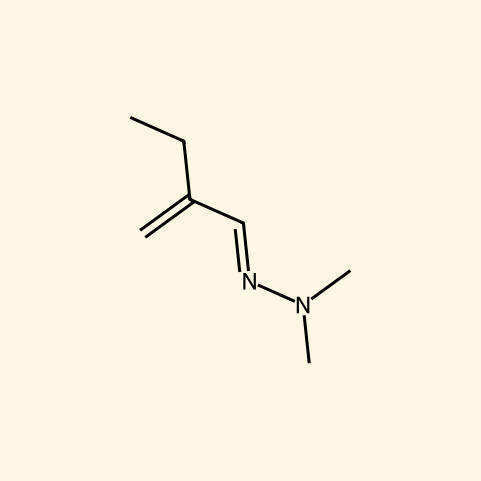 C=C(/C=N/N(C)C)CC